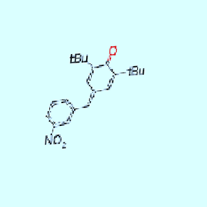 CC(C)(C)C1=CC(=Cc2cccc([N+](=O)[O-])c2)C=C(C(C)(C)C)C1=O